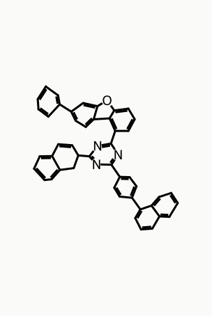 C1=CC(c2nc(-c3ccc(-c4cccc5ccccc45)cc3)nc(-c3cccc4oc5cc(-c6ccccc6)ccc5c34)n2)Cc2ccccc21